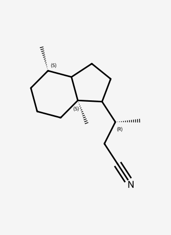 C[C@H](CC#N)C1CCC2[C@@H](C)CCC[C@]12C